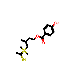 CC(CCOC(=O)c1ccc(O)cc1)CS(C)(C)C(C)S